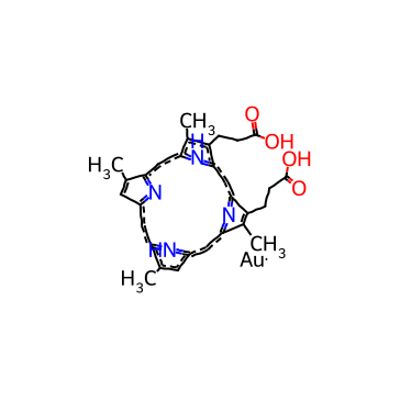 CC1=Cc2cc3[nH]c(cc4nc(cc5[nH]c(cc1n2)c(C)c5CCC(=O)O)C(CCC(=O)O)=C4C)cc3C.[Au]